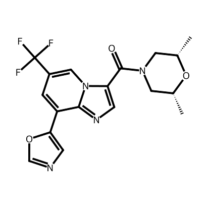 C[C@@H]1CN(C(=O)c2cnc3c(-c4cnco4)cc(C(F)(F)F)cn23)C[C@H](C)O1